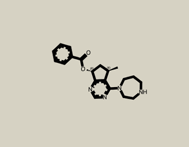 C[C@@H]1C[C@@H](OC(=O)c2ccccc2)c2ncnc(N3CCCNCC3)c21